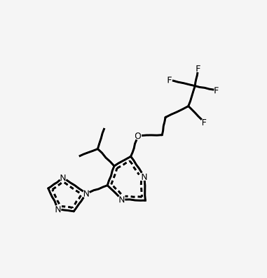 CC(C)c1c(OCCC(F)C(F)(F)F)ncnc1-n1cncn1